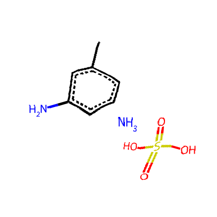 Cc1cccc(N)c1.N.O=S(=O)(O)O